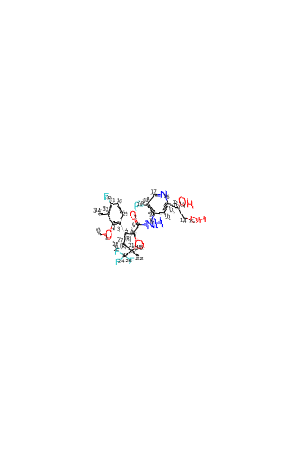 COc1c([C@@H]2[C@@H](C(=O)Nc3cc([C@H](O)CO)ncc3F)O[C@](C)(C(F)(F)F)[C@@H]2C)ccc(F)c1C